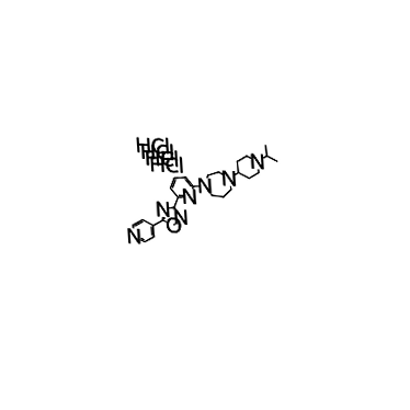 CC(C)N1CCC(N2CCCN(c3cccc(-c4noc(-c5ccncc5)n4)n3)CC2)CC1.Cl.Cl.Cl.Cl